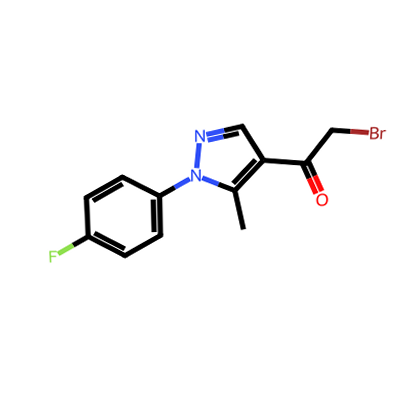 Cc1c(C(=O)CBr)cnn1-c1ccc(F)cc1